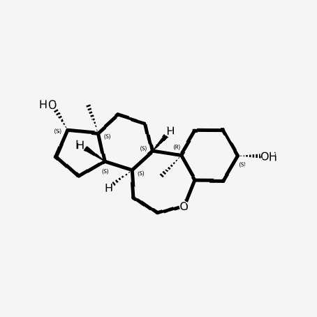 C[C@]12CC[C@H]3[C@@H](CCOC4C[C@@H](O)CC[C@@]43C)[C@@H]1CC[C@@H]2O